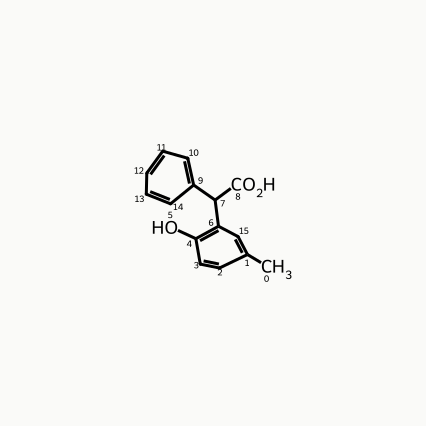 Cc1ccc(O)c(C(C(=O)O)c2ccccc2)c1